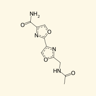 CC(=O)NCc1nc(-c2nc(C(N)=O)co2)co1